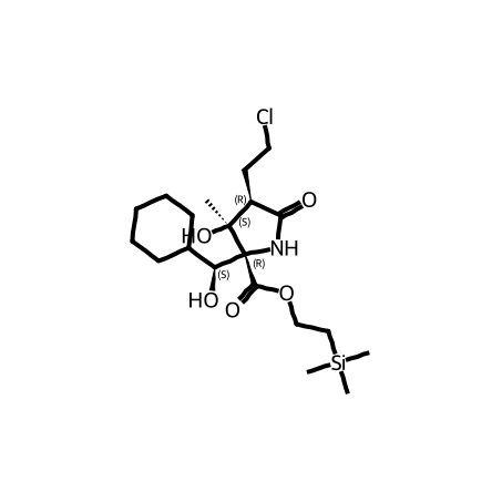 C[C@]1(O)[C@@H](CCCl)C(=O)N[C@]1(C(=O)OCC[Si](C)(C)C)[C@@H](O)C1CCCCC1